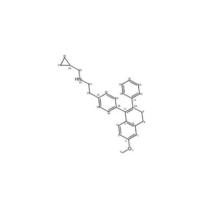 COc1ccc2c(c1)CCC(c1ccccc1)=C2c1ccc(CCNCC2CC2)cc1